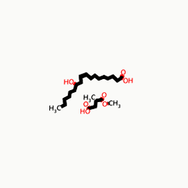 CCCCCCC(O)C/C=C\CCCCCCCC(=O)O.COC(=O)C(C)CC(=O)O